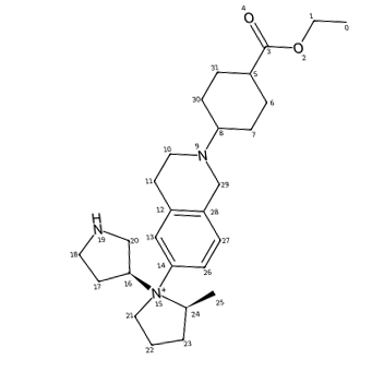 CCOC(=O)C1CCC(N2CCc3cc([N+]4([C@H]5CCNC5)CCC[C@@H]4C)ccc3C2)CC1